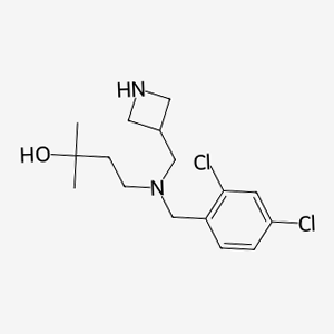 CC(C)(O)CCN(Cc1ccc(Cl)cc1Cl)CC1CNC1